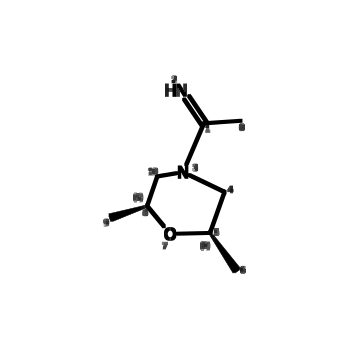 CC(=N)N1C[C@@H](C)O[C@@H](C)C1